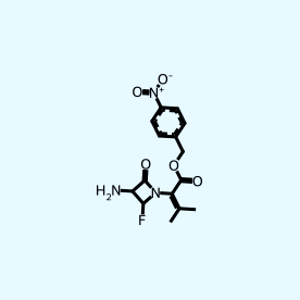 CC(C)=C(C(=O)OCc1ccc([N+](=O)[O-])cc1)N1C(=O)C(N)C1F